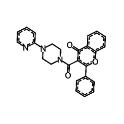 O=C(c1c(-c2ccccc2)oc2ccccc2c1=O)N1CCN(c2ccccn2)CC1